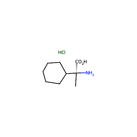 C[C@@](N)(C(=O)O)C1CCCCC1.Cl